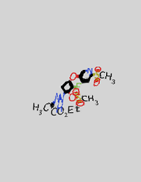 CCOC(=O)/C(C)=N\Nc1ccc(Oc2ccc(S(C)(=O)=O)nc2)c(F)c1OS(C)(=O)=O